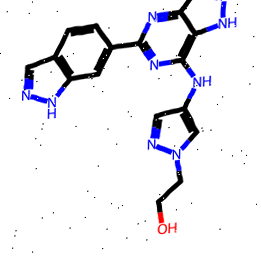 OCCn1cc(Nc2nc(-c3ccc4cn[nH]c4c3)nc3cn[nH]c23)cn1